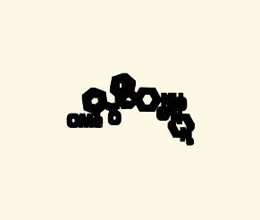 COc1ccccc1C(=O)NC[C@]1(c2ccccc2)CC[C@@H](NS(=O)(=O)N2CCN(C)CC2)CC1